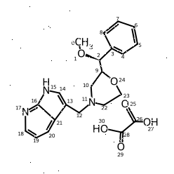 CO[C@@H](c1ccccc1)C1CN(Cc2c[nH]c3ncccc23)CCO1.O=C(O)C(=O)O